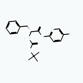 CC(C)(C)OC(=O)N[C@@H](Cc1ccccc1)C(=O)Nc1ccc(N)cn1